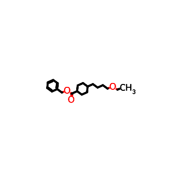 CCOCCCCC1CCC(C(=O)OCc2ccccc2)CC1